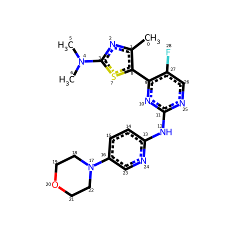 Cc1nc(N(C)C)sc1-c1nc(Nc2ccc(N3CCOCC3)cn2)ncc1F